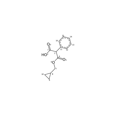 O=C(O)C(C(=O)OCC1CC1)c1ccccc1